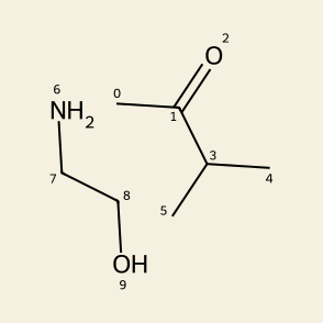 CC(=O)C(C)C.NCCO